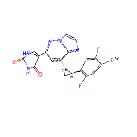 N#Cc1cc(F)c([C@H]2C[C@@H]2c2cc(-c3c[nH]c(=O)[nH]c3=O)nn3ccnc23)cc1F